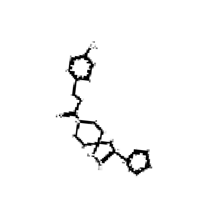 CC(C)(C)c1ccc(CCC(=O)N2CCC3(CC2)CC(c2ccccc2)=NO3)cc1